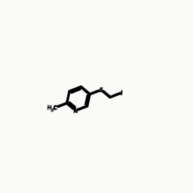 Cc1ccc(SCI)cn1